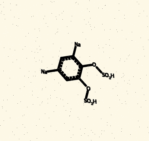 O=S(=O)(O)Oc1c[c]([Na])c[c]([Na])c1OS(=O)(=O)O